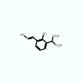 CCOC(=O)C(C(=O)OCC)c1cccc(/C=N/O)c1C(F)(F)F